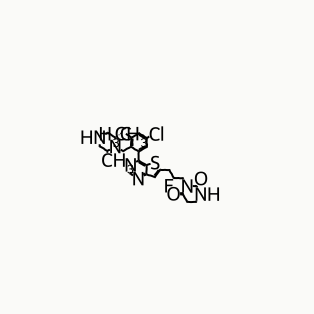 Cc1cc(Cl)cc(-c2ncnc3cc(CC(F)CN4C(=O)CCNC4=O)sc23)c1CN1[C@@H](C)CNC[C@@H]1C